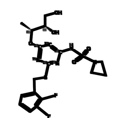 C[C@@H](O[13c]1[13cH][13c](NS(=O)(=O)N2CCC2)[15n][13c](SCc2cccc(F)c2F)[15n]1)[C@@H](O)CO